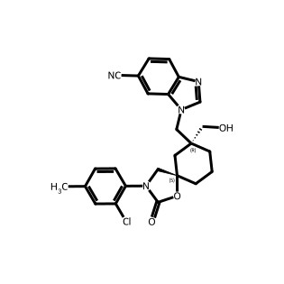 Cc1ccc(N2C[C@@]3(CCC[C@](CO)(Cn4cnc5ccc(C#N)cc54)C3)OC2=O)c(Cl)c1